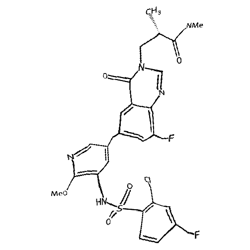 CNC(=O)[C@@H](C)Cn1cnc2c(F)cc(-c3cnc(OC)c(NS(=O)(=O)c4ccc(F)cc4Cl)c3)cc2c1=O